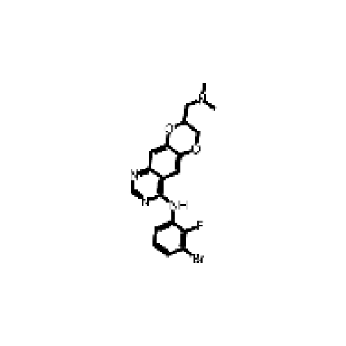 CN(C)CC1COc2cc3c(Nc4cccc(Br)c4F)ncnc3cc2O1